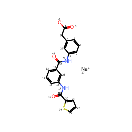 O=C([O-])Cc1cccc(NC(=O)c2cccc(NC(=O)c3cccs3)c2)c1.[Na+]